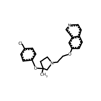 CC1(Oc2ccc(Cl)cc2)CCN(CCOc2ccc3ccncc3c2)C1